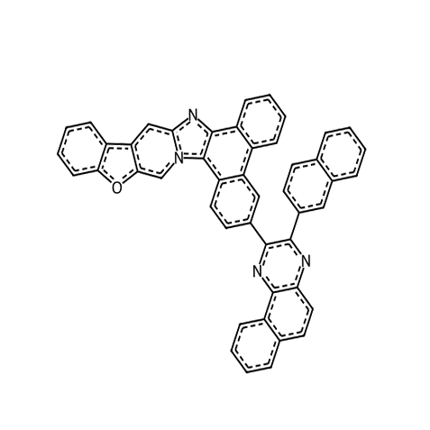 c1ccc2cc(-c3nc4ccc5ccccc5c4nc3-c3ccc4c(c3)c3ccccc3c3nc5cc6c(cn5c43)oc3ccccc36)ccc2c1